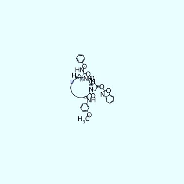 COc1cccc(N[C@H]2CCCCC/C=C\[C@@H]3C[C@@]3(C(=O)NOc3ccccc3)NC(=O)[C@@H]3C[C@@H](Oc4nc5ccccc5o4)CN3C2=O)c1